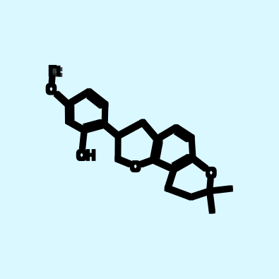 CCOc1ccc(C2COc3c(ccc4c3CCC(C)(C)O4)C2)c(O)c1